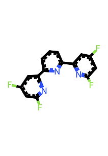 Fc1cc(F)nc(-c2cccc(-c3cc(F)cc(F)n3)n2)c1